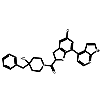 O=C(C1Cc2cc(Cl)cc(-c3ccnc4[nH]ccc34)c2O1)N1CCC(O)(Cc2ccccc2)CC1